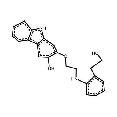 OCCc1ccccc1NCCOc1cc2[nH]c3ccccc3c2cc1O